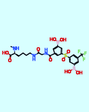 CN[C@@H](CCCCNC(=O)CNC(=O)c1cc(B(O)O)cc(S(=O)(=O)c2cc(B(O)O)cc(C(F)(F)F)c2)c1)C(=O)O